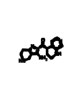 Nc1c2c(nn1C(=O)C1CCNc3cnccc31)CCNC2